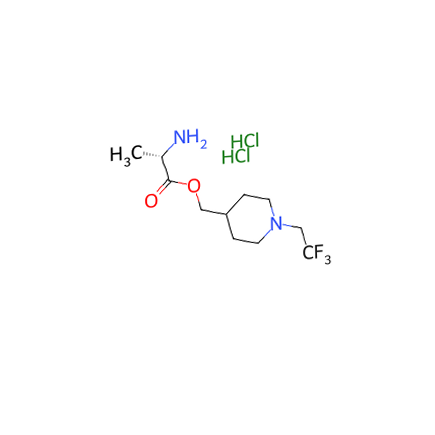 C[C@H](N)C(=O)OCC1CCN(CC(F)(F)F)CC1.Cl.Cl